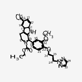 CCOC(=O)N1CCC2=C(NC3C=CC(Cl)=CC23)C1c1ccc(OCCCn2nccn2)c(OC)c1